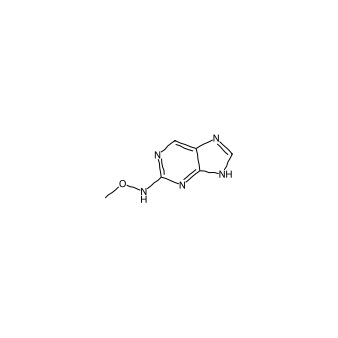 CONc1ncc2nc[nH]c2n1